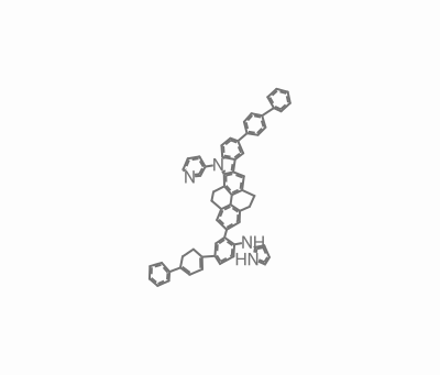 C1=C(c2ccccc2)CCC(c2ccc(Nc3ccc[nH]3)c(-c3cc4c5c(c3)CCc3c-5c(cc5c6cc(-c7ccc(-c8ccccc8)cc7)ccc6n(-c6cccnc6)c35)CC4)c2)=C1